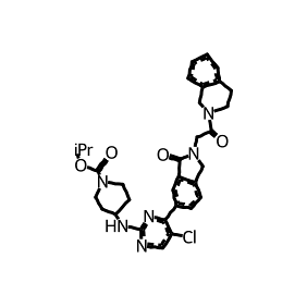 CC(C)OC(=O)N1CCC(Nc2ncc(Cl)c(-c3ccc4c(c3)C(=O)N(CC(=O)N3CCc5ccccc5C3)C4)n2)CC1